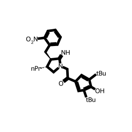 CCC[C@H]1CN(CC(=O)c2cc(C(C)(C)C)c(O)c(C(C)(C)C)c2)C(=N)[C@@H]1Cc1ccccc1[N+](=O)[O-]